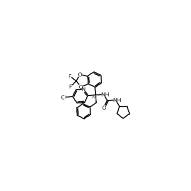 O=C(NC1CCCC1)N[C@](Cc1ccccc1)(c1ccc(Cl)cn1)c1cccc2c1OC(F)(F)O2